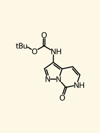 CC(C)(C)OC(=O)Nc1cnn2c(=O)[nH]ccc12